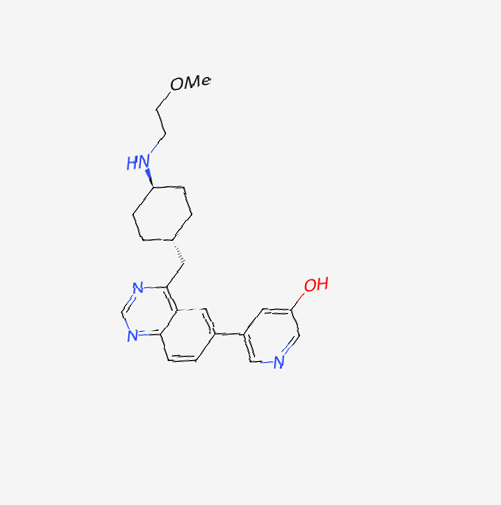 COCCN[C@H]1CC[C@H](Cc2ncnc3ccc(-c4cncc(O)c4)cc23)CC1